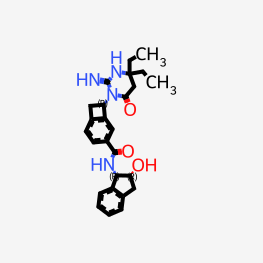 CCC1(CC)CC(=O)N([C@@H]2Cc3ccc(C(=O)N[C@@H]4c5ccccc5C[C@H]4O)cc32)C(=N)N1